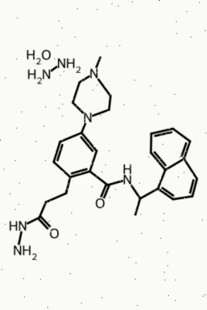 CC(NC(=O)c1cc(N2CCN(C)CC2)ccc1CCC(=O)NN)c1cccc2ccccc12.NN.O